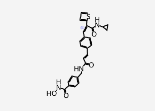 O=C(C=Cc1ccc(/C=C(\C(=O)NC2CC2)c2cccs2)cc1)NCc1ccc(C(=O)NO)cc1